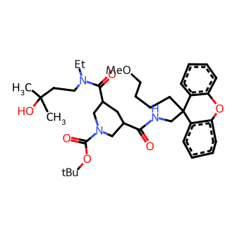 CCN(CCC(C)(C)O)C(=O)C1CC(C(=O)NCC2(CCCCOC)c3ccccc3Oc3ccccc32)CN(C(=O)OC(C)(C)C)C1